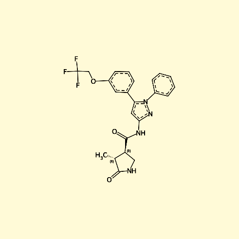 C[C@H]1C(=O)NC[C@@H]1C(=O)Nc1cc(-c2cccc(OCC(F)(F)F)c2)n(-c2ccccc2)n1